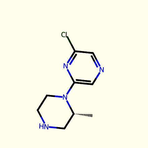 C[C@@H]1CNCCN1c1cncc(Cl)n1